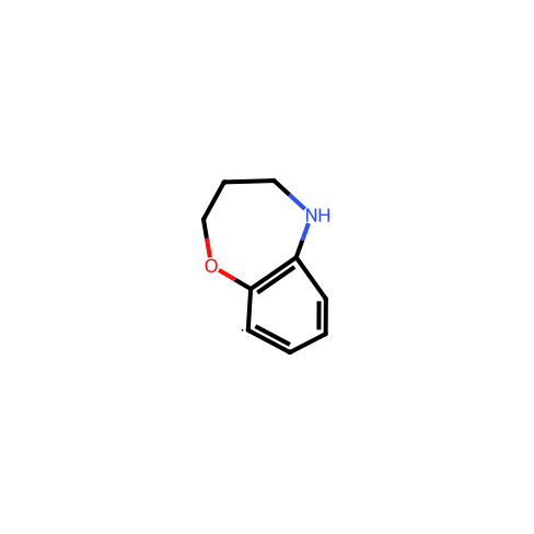 [c]1cccc2c1OCCCN2